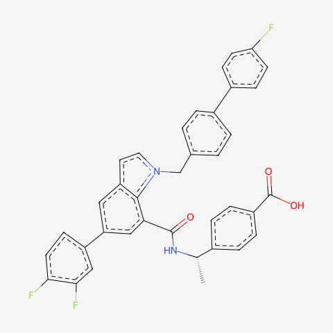 C[C@H](NC(=O)c1cc(-c2ccc(F)c(F)c2)cc2ccn(Cc3ccc(-c4ccc(F)cc4)cc3)c12)c1ccc(C(=O)O)cc1